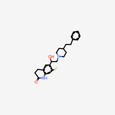 O=C1CCc2cc(C(O)CN3CCC(CCc4ccccc4)CC3)c(F)cc2N1